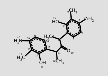 Cc1c(N)ccc(C(C)C(=O)C(C)c2ccc(N)c(C)c2O)c1O